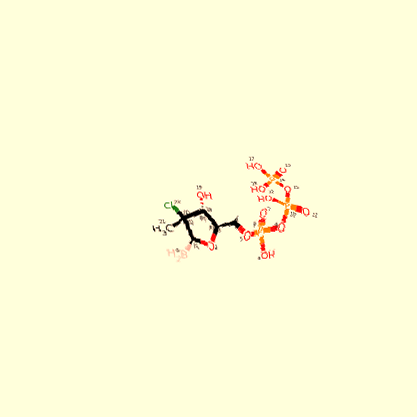 B[C@@H]1O[C@H](COP(=O)(O)OP(=O)(O)OP(=O)(O)O)[C@@H](O)[C@@]1(C)Cl